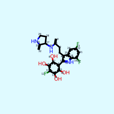 C=C(CCc1c(-c2c(O)c(O)c(F)c(O)c2O)[nH]c2c(F)cc(F)cc12)NC1CCNC1=C